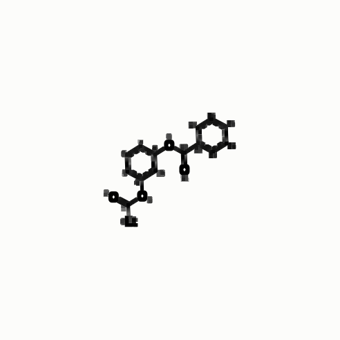 CCC(=O)Oc1cccc(OC(=O)c2ccccc2)c1